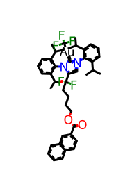 CC(C)c1cccc(C(C)C)c1-n1cc(C(F)(F)CCCCOC(=O)c2ccc3ccccc3c2)n(-c2c(C(C)C)cccc2C(C)C)[c]1=[Au][C](F)(F)F